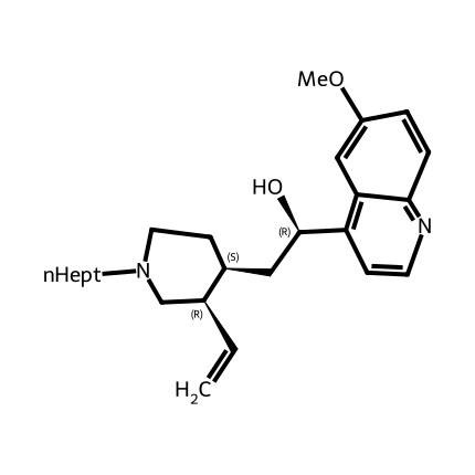 C=C[C@H]1CN(CCCCCCC)CC[C@H]1C[C@@H](O)c1ccnc2ccc(OC)cc12